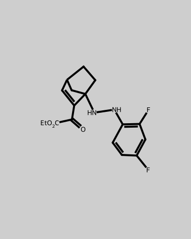 CCOC(=O)C(=O)C1=CC2CCC1(NNc1ccc(F)cc1F)C2